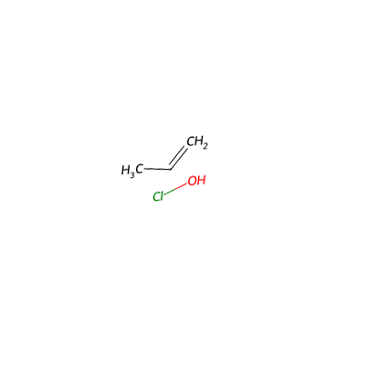 C=CC.OCl